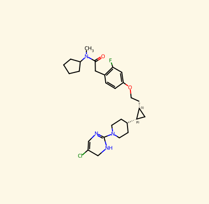 CN(C(=O)Cc1ccc(OCC[C@@H]2C[C@@H]2C2CCN(C3=NC=C(Cl)CN3)CC2)cc1F)C1CCCC1